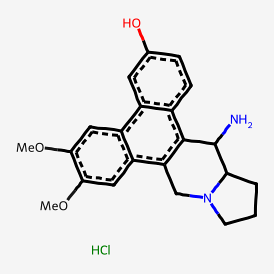 COc1cc2c3c(c4ccc(O)cc4c2cc1OC)C(N)C1CCCN1C3.Cl